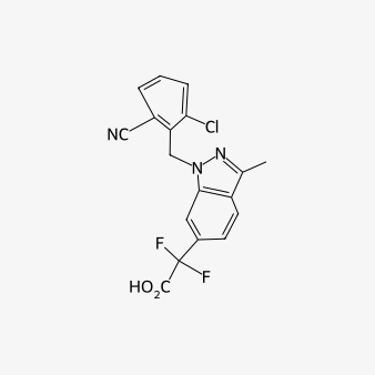 Cc1nn(Cc2c(Cl)cccc2C#N)c2cc(C(F)(F)C(=O)O)ccc12